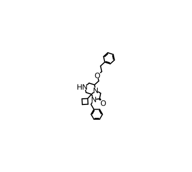 O=C1CN2C(COCCc3ccccc3)CNCC2(C2CCC2)N1Cc1ccccc1